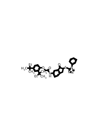 CCC(C)(C)c1ccc(OCC(=O)Nc2ccc3c(c2)C(=O)C(Sc2nnnn2-c2ccccc2)C3)c(C(C)(C)CC)c1